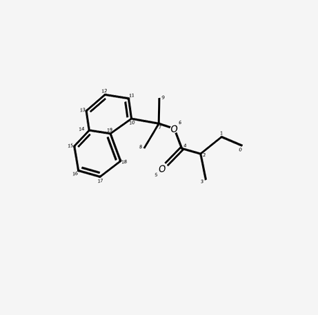 CCC(C)C(=O)OC(C)(C)c1cccc2ccccc12